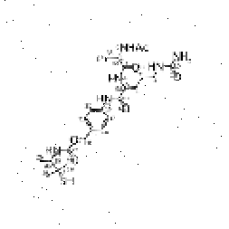 CC(=O)N[C@H](C(=O)N[C@@H](CCCNC(N)=O)C(=O)Nc1ccc(COC(=O)N[C@H](C)C(C)(C)S)cc1)C(C)C